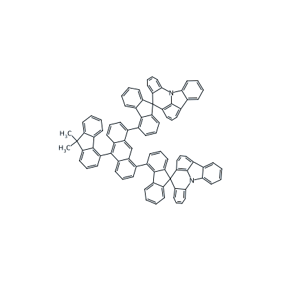 CC1(C)c2ccccc2-c2c(-c3c4cccc(-c5cccc6c5-c5ccccc5C65c6ccccc6-n6c7ccccc7c7cccc5c76)c4cc4c(-c5cccc6c5-c5ccccc5C65c6ccccc6-n6c7ccccc7c7cccc5c76)cccc34)cccc21